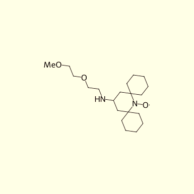 COCCOCCNC1CC2(CCCCC2)N([O])C2(CCCCC2)C1